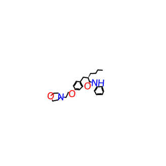 CCCC[C@H](Cc1ccc(OCCN2CCOCC2)cc1)C(=O)Nc1ccccc1